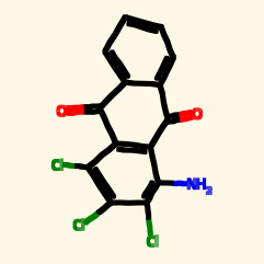 Nc1c(Cl)c(Cl)c(Cl)c2c1C(=O)c1ccccc1C2=O